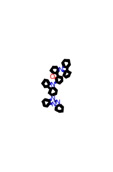 c1ccc2c(c1)nc1n(-c3ccc4c(c3)c3ccccc3n4-c3cccc4c3oc3cccc(-n5c6ccccc6c6ccccc65)c34)c3ccccc3n21